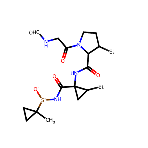 CCC1CCN(C(=O)CNC=O)C1C(=O)NC1(C(=O)N[S+]([O-])C2(C)CC2)CC1CC